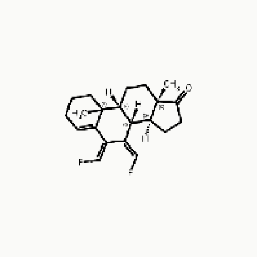 C[C@]12CCCC=C1C(=CF)C(=CF)[C@@H]1[C@H]2CC[C@]2(C)C(=O)CC[C@@H]12